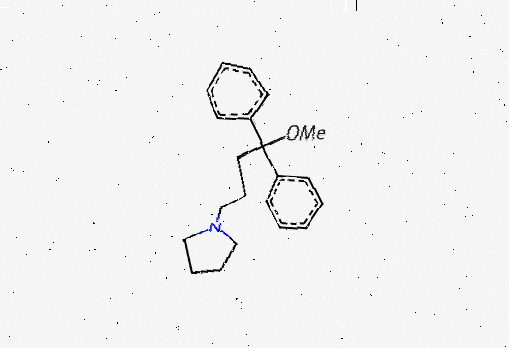 COC(CCCN1CCCC1)(c1ccccc1)c1ccccc1